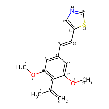 C=C(C)c1c(OC)cc(/C=C/c2cncs2)cc1OC